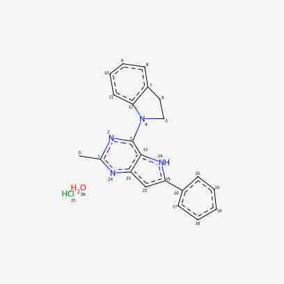 Cc1nc(N2CCc3ccccc32)c2[nH]c(-c3ccccc3)cc2n1.Cl.O